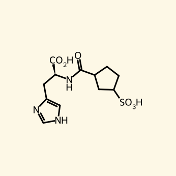 O=C(N[C@@H](Cc1c[nH]cn1)C(=O)O)C1CCC(S(=O)(=O)O)C1